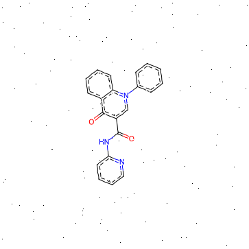 O=C(Nc1ccccn1)c1cn(-c2ccccc2)c2ccccc2c1=O